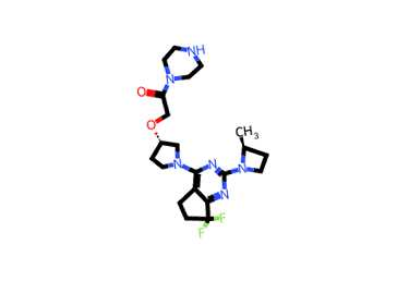 C[C@H]1CCN1c1nc(N2CC[C@H](OCC(=O)N3CCNCC3)C2)c2c(n1)C(F)(F)CC2